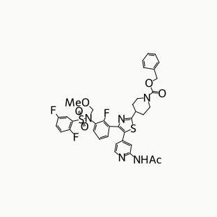 COCN(c1cccc(-c2nc(C3CCN(C(=O)OCc4ccccc4)CC3)sc2-c2ccnc(NC(C)=O)c2)c1F)S(=O)(=O)c1cc(F)ccc1F